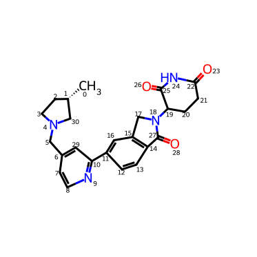 C[C@H]1CCN(Cc2ccnc(-c3ccc4c(c3)CN(C3CCC(=O)NC3=O)C4=O)c2)C1